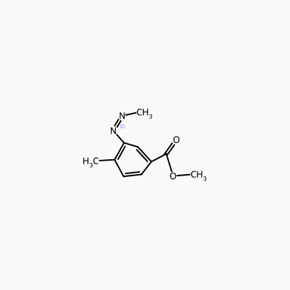 C/N=N\c1cc(C(=O)OC)ccc1C